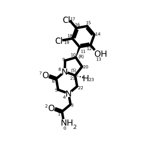 NC(=O)CN1CC(=O)N2C[C@@H](c3c(O)ccc(Cl)c3Cl)C[C@H]2C1